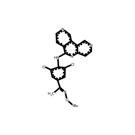 CC(=NOC(C)(C)C)c1cc(Cl)c(Nc2nc3ccncc3c3cnccc23)c(Cl)c1